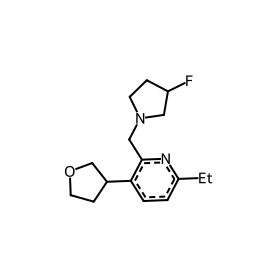 CCc1ccc(C2CCOC2)c(CN2CCC(F)C2)n1